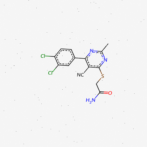 Cc1nc(SCC(N)=O)c(C#N)c(-c2ccc(Cl)c(Cl)c2)n1